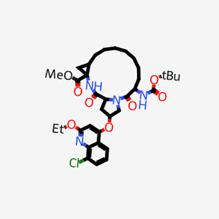 CCOc1cc(OC2CC3C(=O)NC4(C(=O)OC)CC4CCCCCCCC(NC(=O)OC(C)(C)C)C(=O)N3C2)c2cccc(Cl)c2n1